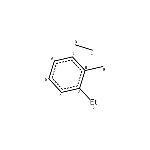 CC.CCc1ccccc1C